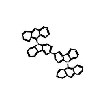 C1=CC2C(n3c4ccccc4c4cc(-c5ccc6c(c5)c5ccccc5n6-c5c6ccccc6cc6ccccc56)ccc43)=c3ccccc3=CC2CC1